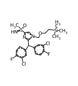 C[Si](C)(C)CCOCn1cc(S(C)(=N)=O)nc1C(c1ccc(F)c(Cl)c1)c1ccc(F)c(Cl)c1